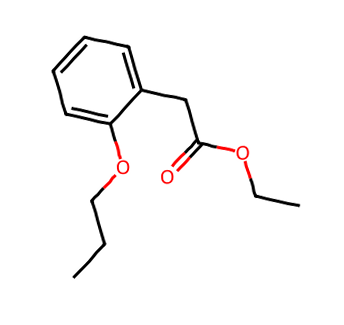 CCCOc1ccccc1CC(=O)OCC